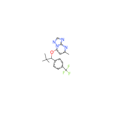 Cc1cc(OC(c2ccc(C(F)(F)F)cc2)C(C)(C)C)n2ncnc2n1